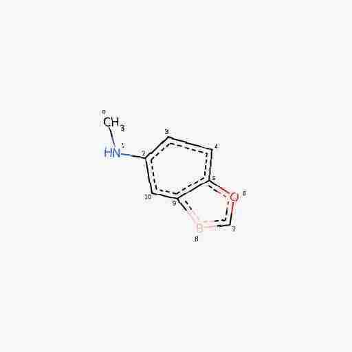 CNc1ccc2ocbc2c1